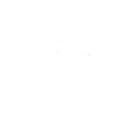 CCOC(=O)c1cc(NC(=O)c2cc(CNC(=O)C(C)(C)C)ccc2Cl)ccc1OCC(F)F